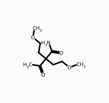 COCCC(CCOC)(C(C)=O)C(N)=O